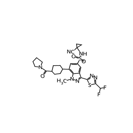 Cn1nc(-c2nnc(C(F)F)s2)c2cc(S(=O)(=O)NC3(C#N)CC3)cc(C3CCC(C(=O)N4CCCC4)CC3)c21